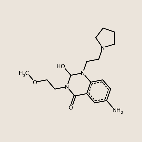 COCCN1C(=O)c2cc(N)ccc2N(CCN2CCCC2)C1O